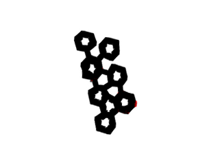 c1ccc(-c2cccc(-c3nccc(-c4ccccc4)c3-c3ccccc3)c2-c2c(-c3ccccc3)ccc3c4ccccc4c4ccccc4c23)cc1